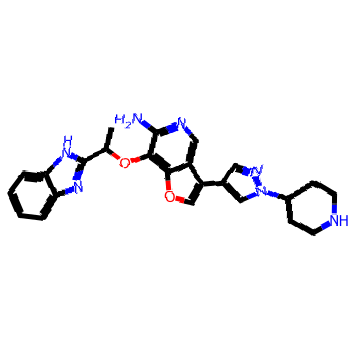 CC(Oc1c(N)ncc2c(-c3cnn(C4CCNCC4)c3)coc12)c1nc2ccccc2[nH]1